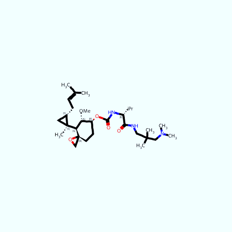 CO[C@@H]1[C@H](OC(=O)N[C@@H](C(=O)NCC(C)(C)CN(C)C)C(C)C)CC[C@]2(CO2)[C@H]1[C@@]1(C)C[C@@H]1CC=C(C)C